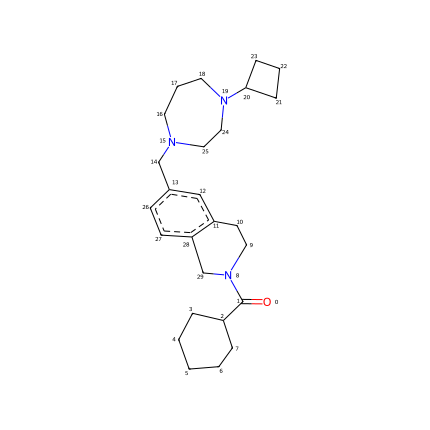 O=C(C1CCCCC1)N1CCc2cc(CN3CCCN(C4CCC4)CC3)ccc2C1